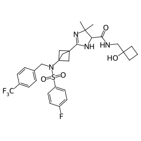 CC1(C)N=C(C23CC(N(Cc4ccc(C(F)(F)F)cc4)S(=O)(=O)c4ccc(F)cc4)(C2)C3)NC1C(=O)NCC1(O)CCC1